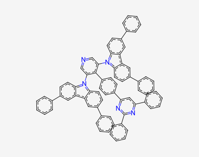 c1ccc(-c2ccc3c(c2)c2cc(-c4ccccc4)ccc2n3-c2cncc(-n3c4ccc(-c5ccccc5)cc4c4cc(-c5ccccc5)ccc43)c2-c2ccc(-c3cc(-c4ccccc4)nc(-c4ccccc4)n3)cc2)cc1